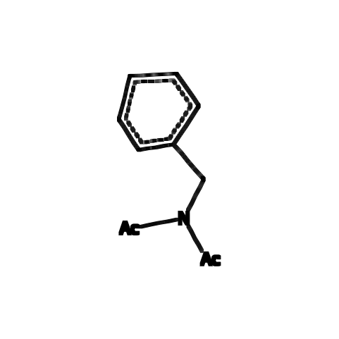 CC(=O)N(Cc1ccccc1)C(C)=O